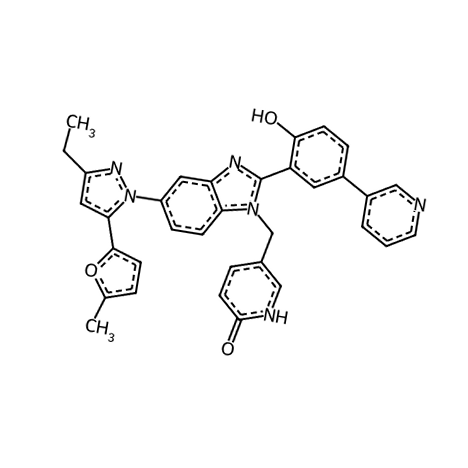 CCc1cc(-c2ccc(C)o2)n(-c2ccc3c(c2)nc(-c2cc(-c4cccnc4)ccc2O)n3Cc2ccc(=O)[nH]c2)n1